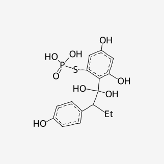 CCC(c1ccc(O)cc1)C(O)(O)c1c(O)cc(O)cc1SP(=O)(O)O